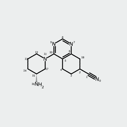 N#CC1CCc2c(ncnc2N2CCC[C@@H](N)C2)C1